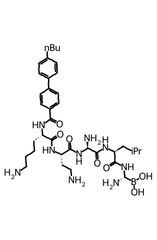 CCCCc1ccc(-c2ccc(C(=O)N[C@@H](CCCCN)C(=O)N[C@@H](CCN)C(=O)N[C@@H](N)C(=O)N[C@@H](CC(C)C)C(=O)N[C@@H](N)B(O)O)cc2)cc1